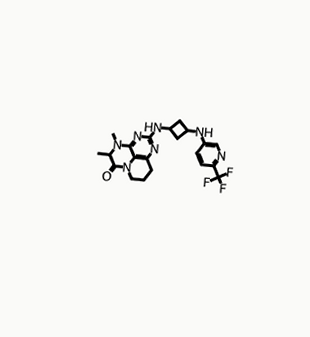 CC1C(=O)N2CCCc3nc(NC4CC(Nc5ccc(C(F)(F)F)nc5)C4)nc(c32)N1C